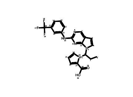 [CH2]CC(n1ccc2cnc(Nc3cccc(C(F)(F)F)c3)nc21)[SH]1C=CC=C1C(=O)O